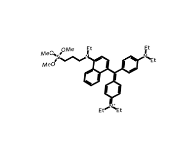 CCN(CC)c1ccc(C(=C2C=CC(=[N+](CC)CC)C=C2)c2ccc(N(CC)CCC[Si](OC)(OC)OC)c3ccccc23)cc1